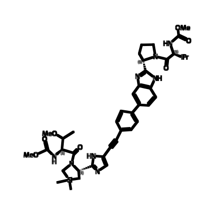 COC(=O)N[C@H](C(=O)N1CCC[C@H]1c1nc2cc(-c3ccc(C#Cc4cnc([C@@H]5C[Si](C)(C)CN5C(=O)[C@@H](NC(=O)OC)C(C)OC)[nH]4)cc3)ccc2[nH]1)C(C)C